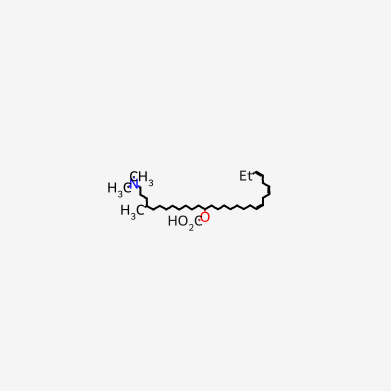 CC/C=C\C/C=C\C/C=C\CCCCCCCC(CCCCCCCCC(C)CCCN(C)C)OC(=O)O